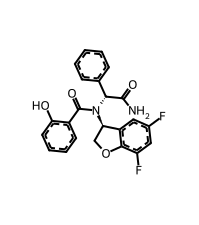 NC(=O)[C@@H](c1ccccc1)N(C(=O)c1ccccc1O)[C@@H]1COc2c(F)cc(F)cc21